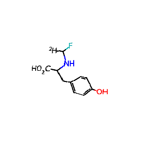 [2H]C(F)NC(Cc1ccc(O)cc1)C(=O)O